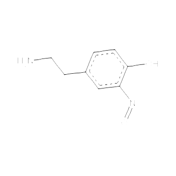 NCCc1ccc(O)c(N=O)c1